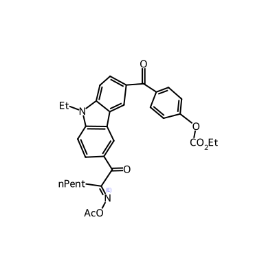 CCCCC/C(=N\OC(C)=O)C(=O)c1ccc2c(c1)c1cc(C(=O)c3ccc(OC(=O)OCC)cc3)ccc1n2CC